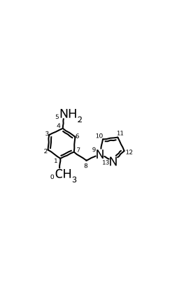 Cc1ccc(N)cc1Cn1cccn1